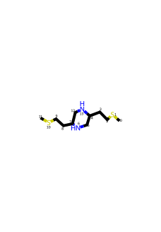 CSCCC1CNC(CCSC)CN1